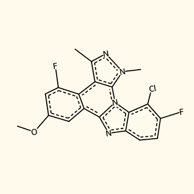 COc1cc(F)c2c(c1)c1nc3ccc(F)c(Cl)c3n1c1c2c(C)nn1C